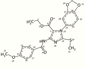 CCOC(=O)c1c(NC(=O)c2ccc(OC)cc2)nc(SC)n1-c1ccc2c(c1)OCO2